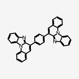 c1ccc2c(c1)cc(-c1ccc(-c3cc4ccccc4n4c3nc3ccccc34)cc1)c1nc3ccccc3n12